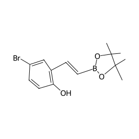 CC1(C)OB(/C=C/c2cc(Br)ccc2O)OC1(C)C